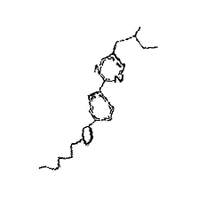 CCCCCOc1ccc(-c2ncc(CC(C)CC)cn2)cc1